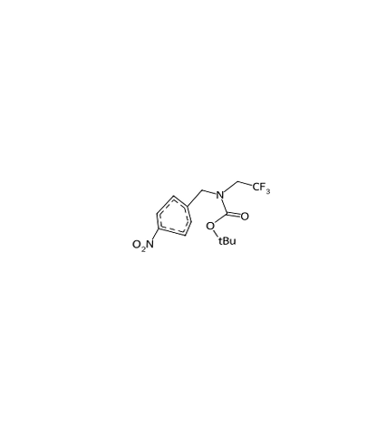 CC(C)(C)OC(=O)N(Cc1ccc([N+](=O)[O-])cc1)CC(F)(F)F